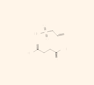 C=CCS(=O)(=O)O.O=C(O)CCC(=O)O